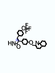 CNC(=O)/C(=C/c1ccc(OC(F)(F)F)cc1)c1ccc(OCc2ccc3ccccc3n2)cc1